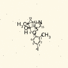 Cc1cc(I)ccc1OCC(O)(c1cncs1)C1(C)CC1